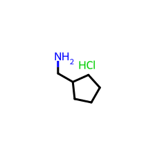 Cl.NCC1CCCC1